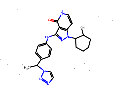 CC(c1ccc(Nc2nn(C3CCCCC3C#N)c3cc[nH]c(=O)c23)cc1)n1ccnn1